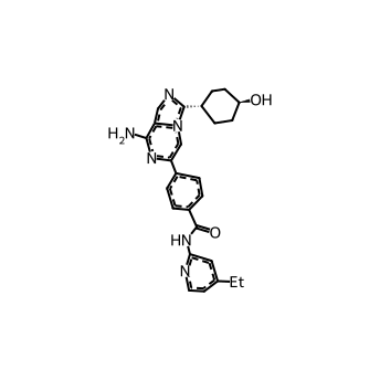 CCc1ccnc(NC(=O)c2ccc(-c3cn4c(cnc4[C@H]4CC[C@H](O)CC4)c(N)n3)cc2)c1